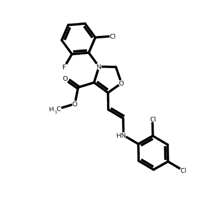 COC(=O)C1=C(C=CNc2ccc(Cl)cc2Cl)OCN1c1c(F)cccc1Cl